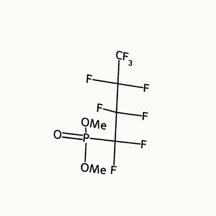 COP(=O)(OC)C(F)(F)C(F)(F)C(F)(F)C(F)(F)F